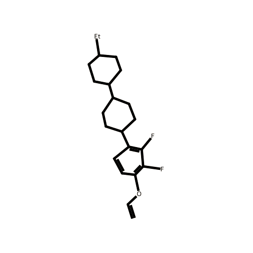 C=COc1ccc(C2CCC(C3CCC(CC)CC3)CC2)c(F)c1F